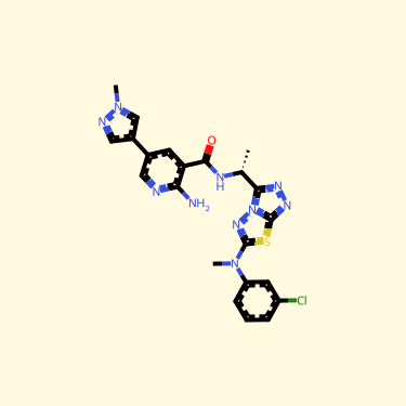 C[C@@H](NC(=O)c1cc(-c2cnn(C)c2)cnc1N)c1nnc2sc(N(C)c3cccc(Cl)c3)nn12